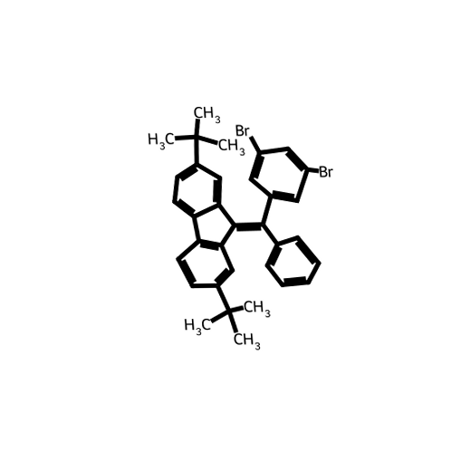 CC(C)(C)c1ccc2c(c1)C(=C(c1ccccc1)c1cc(Br)cc(Br)c1)c1cc(C(C)(C)C)ccc1-2